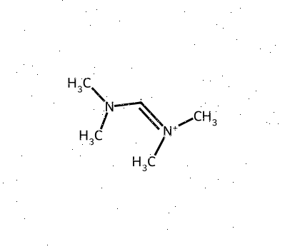 CN(C)[C]=[N+](C)C